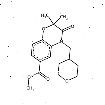 COC(=O)c1ccc2c(c1)N(CC1CCOCC1)C(=O)C(C)(C)O2